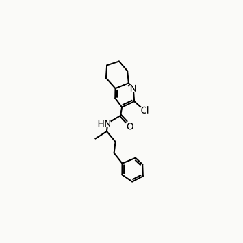 CC(CCc1ccccc1)NC(=O)c1cc2c(nc1Cl)CCCC2